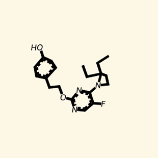 CCC1(CC)CCN1c1nc(OCCc2ccc(O)cc2)ncc1F